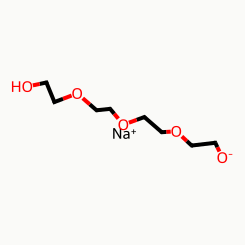 [Na+].[O-]CCOCCOCCOCCO